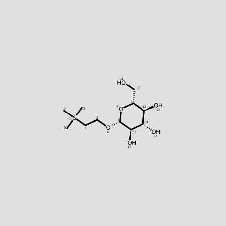 CS(C)(C)CCO[C@@H]1O[C@H](CO)[C@@H](O)[C@H](O)[C@H]1O